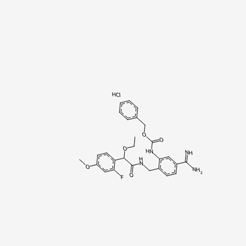 CCOC(C(=O)NCc1ccc(C(=N)N)cc1NC(=O)OCc1ccccc1)c1ccc(OC)cc1F.Cl